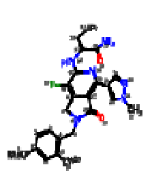 COc1ccc(CN2Cc3c(F)c(NC(CC(C)C)C(N)=O)nc(-c4cnn(C)c4)c3C2=O)c(OC)c1